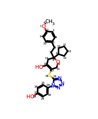 COc1ccc(CCC2(C3CCCC3)CC(O)=C(Sc3nnnn3-c3ccc(O)cc3)CO2)cc1